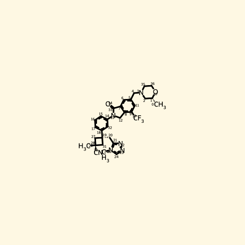 C[C@@H]1CN(Cc2cc3c(c(C(F)(F)F)c2)CN(c2cccc([C@]4(Cc5nncn5C)C[C@](C)(C#N)C4)c2)C3=O)CCO1